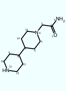 NC(=O)CN1CCC(C2CCNCC2)CC1